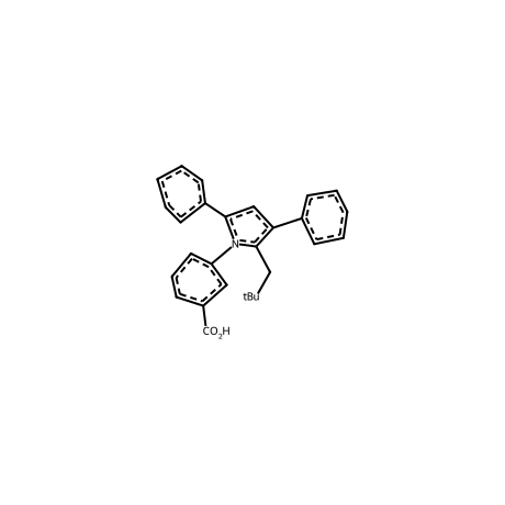 CC(C)(C)Cc1c(-c2ccccc2)cc(-c2ccccc2)n1-c1cccc(C(=O)O)c1